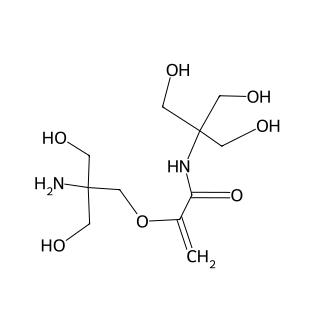 C=C(OCC(N)(CO)CO)C(=O)NC(CO)(CO)CO